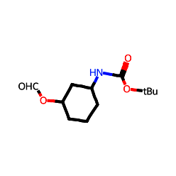 CC(C)(C)OC(=O)NC1CCCC(OC=O)C1